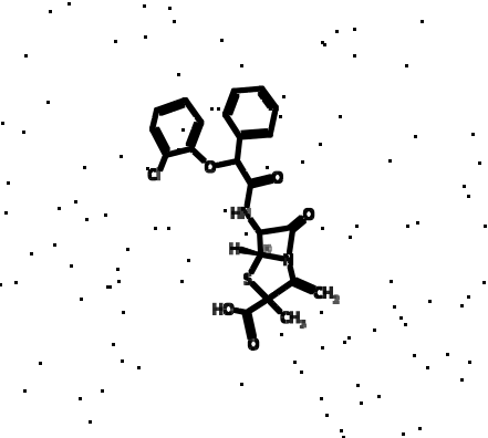 C=C1N2C(=O)C(NC(=O)C(Oc3ccccc3Cl)c3ccccc3)[C@H]2SC1(C)C(=O)O